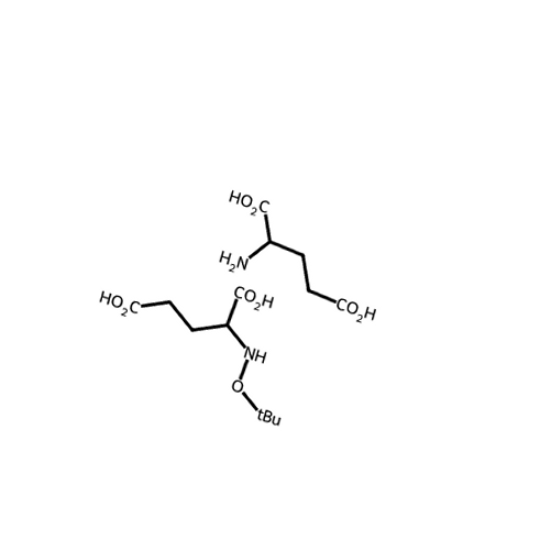 CC(C)(C)ONC(CCC(=O)O)C(=O)O.NC(CCC(=O)O)C(=O)O